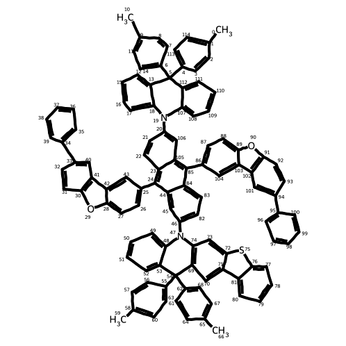 Cc1ccc(C2(c3ccc(C)cc3)c3ccccc3N(c3ccc4c(-c5ccc6oc7ccc(-c8ccccc8)cc7c6c5)c5cc(N6c7ccccc7C(c7ccc(C)cc7)(c7ccc(C)cc7)c7cc8c(cc76)sc6ccccc68)ccc5c(-c5ccc6oc7ccc(-c8ccccc8)cc7c6c5)c4c3)c3ccccc32)cc1